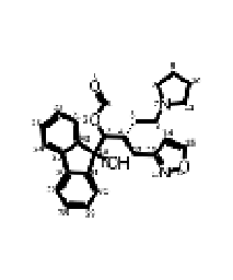 O=COC([C@H](CCN1CCCC1)Cc1ccon1)C1(O)c2ccccc2-c2ccccc21